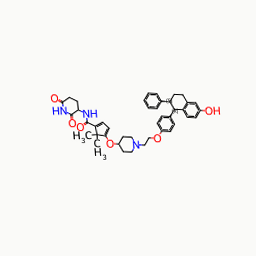 CC1(C)C(OC2CCN(CCOc3ccc([C@@H]4c5ccc(O)cc5CC[C@@H]4c4ccccc4)cc3)CC2)=CC=C1C(=O)NC1CCC(=O)NC1=O